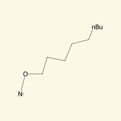 CCCCCCCCCO[N]